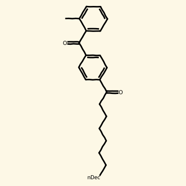 CCCCCCCCCCCCCCCCC(=O)c1ccc(C(=O)c2ccccc2C)cc1